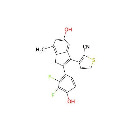 Cc1cc(O)cc2c1CC(c1ccc(O)c(F)c1F)=C2c1ccsc1C#N